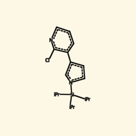 CC(C)[Si](C(C)C)(C(C)C)n1ccc(-c2cccnc2Cl)c1